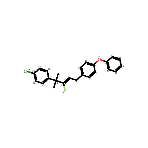 CC(C)(/C(F)=C/Cc1ccc(Oc2ccccc2)cc1)c1ccc(Cl)cc1